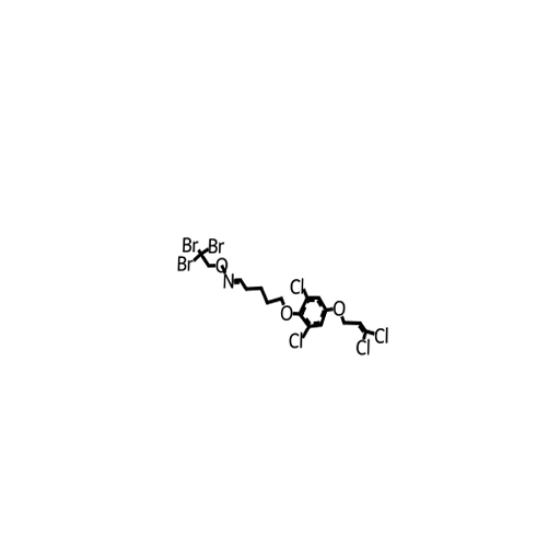 ClC(Cl)=CCOc1cc(Cl)c(OCCCCC=NOCC(Br)(Br)Br)c(Cl)c1